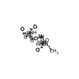 CCCCCCNC(=O)[C@H](Cn1cc(-c2ccc(C(=O)N3C[C@@H](C(=O)N[C@H]4C[C@@H]4c4ccccc4)[C@H](C(=O)N[C@H]4C[C@@H]4c4ccccc4)C3)cc2)nn1)NC(=O)N[C@H]1C[C@@H]1c1ccccc1